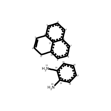 C1=Cc2cccc3cccc(c23)C1.Nc1ccccc1N